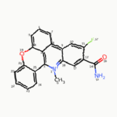 C[n+]1c2c3c(cccc3c3cc(F)c(C(N)=O)cc31)Oc1ccccc1-2